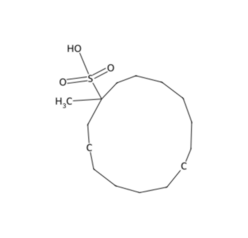 CC1(S(=O)(=O)O)CCCCCCCCCCCCC1